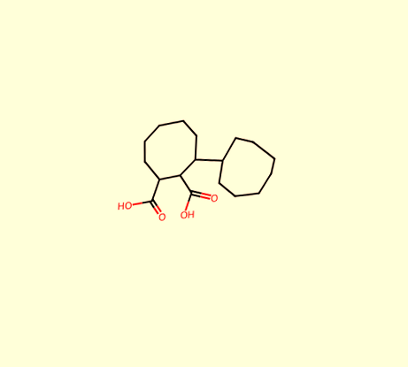 O=C(O)C1CCCCCC(C2CCCCCCC2)C1C(=O)O